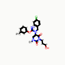 CCn1cc(N(Cc2ccc(Cl)cc2)C(=N)Oc2cccc(C(C)C)c2)c(=O)n(CCCO)c1=O